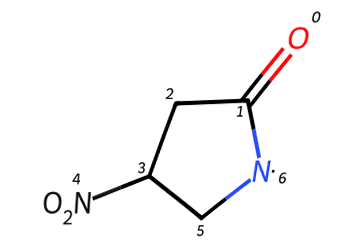 O=C1CC([N+](=O)[O-])C[N]1